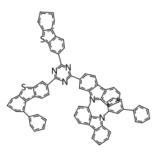 c1ccc(-c2cccc(-n3c4ccccc4c4cccc(-n5c6ccccc6c6ccc(-c7nc(-c8ccc9c(c8)sc8ccccc89)nc(-c8ccc9c(c8)sc8cccc(-c%10ccccc%10)c89)n7)cc65)c43)c2)cc1